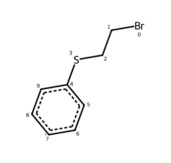 BrCCSc1cc[c]cc1